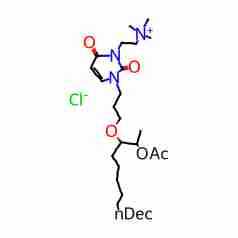 CCCCCCCCCCCCCCCC(OCCCn1ccc(=O)n(CC[N+](C)(C)C)c1=O)C(C)OC(C)=O.[Cl-]